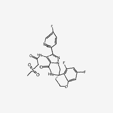 CS(=O)(=O)CC(=O)Nc1c(-c2ccc(F)cn2)nn2c1C(=O)N[C@@]1(CCOc3cc(F)cc(F)c31)C2